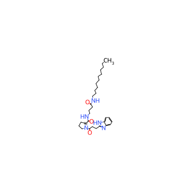 CCCCCCCCCCCCNC(=O)CCCNC(=O)[C@@H]1CCCN1C(=O)CCc1nc2ccccc2[nH]1